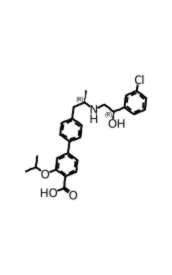 CC(C)Oc1cc(-c2ccc(C[C@@H](C)NC[C@H](O)c3cccc(Cl)c3)cc2)ccc1C(=O)O